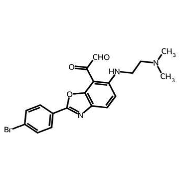 CN(C)CCNc1ccc2nc(-c3ccc(Br)cc3)oc2c1C(=O)C=O